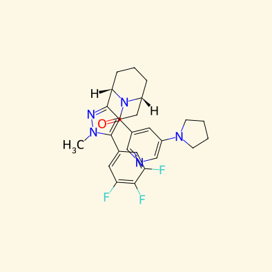 Cn1nc2c(c1-c1cc(F)c(F)c(F)c1)C[C@H]1CCC[C@@H]2N1C(=O)c1cncc(N2CCCC2)c1